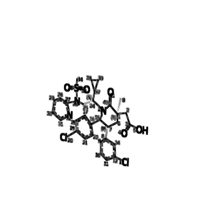 C[C@]1(CC(=O)O)C[C@H](c2cccc(Cl)c2)C(c2ccc(Cl)cc2)N([C@H](CN(c2ccccn2)S(C)(=O)=O)C2CC2)C1=O